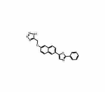 c1ccc(-c2ncc(-c3ccc4cc(OCc5nnn[nH]5)ccc4c3)o2)cc1